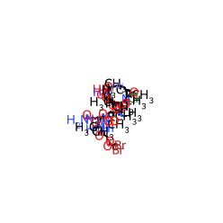 COc1cc2cc(c1Cl)N(C)C(=O)C[C@H](OC(=O)[C@H](C)N(C)C(=O)c1ccc(NC(=O)[C@H](CCCNC(N)=O)NC(=O)[C@@H](NC(C=O)CCCCOC(=O)C(CBr)CBr)C(C)C)c(S(C)(=O)=O)c1)[C@]1(C)O[C@H]1[C@H](C)[C@@H]1C[C@@](O)(NC(=O)O1)[C@H](OC)/C=C/C=C(\C)C2